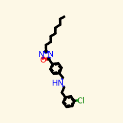 CCCCCCCCc1noc(-c2ccc(CNCCc3cccc(Cl)c3)cc2)n1